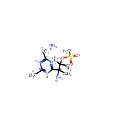 CC(C)(OS(C)(=O)=O)C(C)(N)c1nc(C(Cl)(Cl)Cl)nc(C(Cl)(Cl)Cl)n1.N